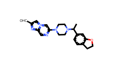 CC(c1ccc2c(c1)OCC2)N1CCN(c2cn3cc(C=O)nc3cn2)CC1